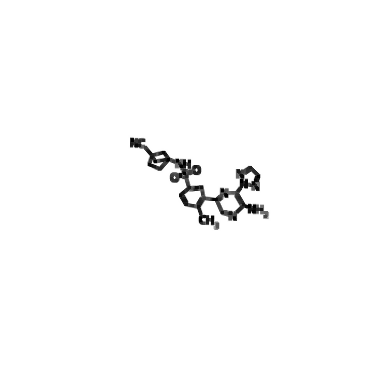 Cc1ccc(S(=O)(=O)NC23CCC(C#N)(C2)C3)cc1-c1cnc(N)c(-n2nccn2)n1